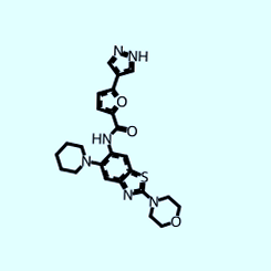 O=C(Nc1cc2sc(N3CCOCC3)nc2cc1N1CCCCC1)c1ccc(-c2cn[nH]c2)o1